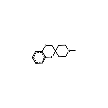 CN1CCC2(CC1)CSc1ccccc1O2